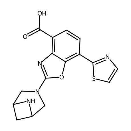 O=C(O)c1ccc(-c2nccs2)c2oc(N3CC4CC(C3)N4)nc12